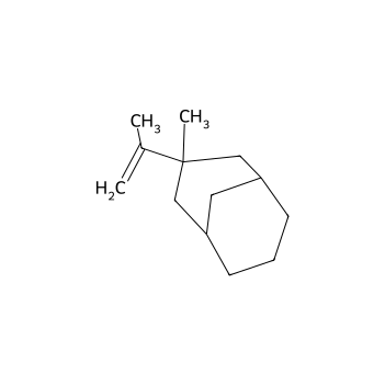 C=C(C)C1(C)CC2CCCC(C2)C1